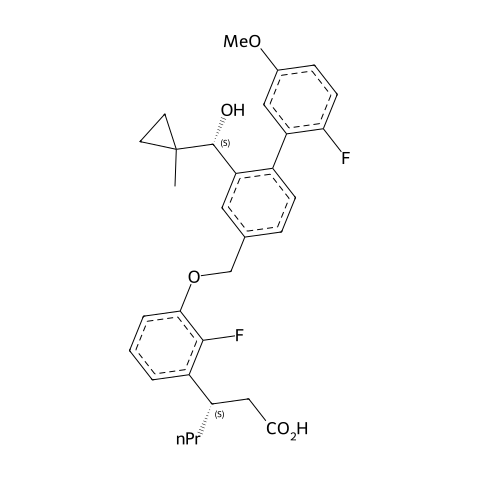 CCC[C@@H](CC(=O)O)c1cccc(OCc2ccc(-c3cc(OC)ccc3F)c([C@@H](O)C3(C)CC3)c2)c1F